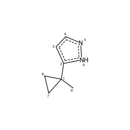 CC1(c2c[c]n[nH]2)CC1